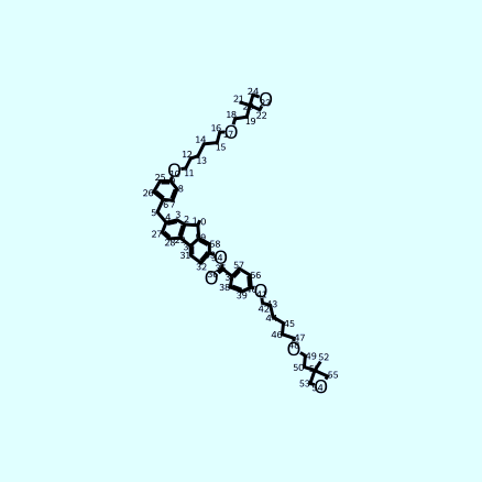 CC1c2cc(Cc3ccc(OCCCCCCOCCC4(C)COC4)cc3)ccc2-c2ccc(OC(=O)c3ccc(OCCCCCCOCCC4(C)COC4)cc3)cc21